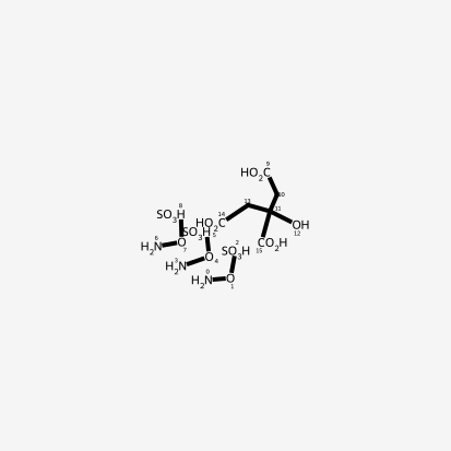 NOS(=O)(=O)O.NOS(=O)(=O)O.NOS(=O)(=O)O.O=C(O)CC(O)(CC(=O)O)C(=O)O